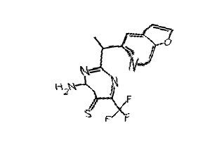 CC(C1=NC(N)C(=S)C(C(F)(F)F)=N1)c1cc2ccoc2cn1